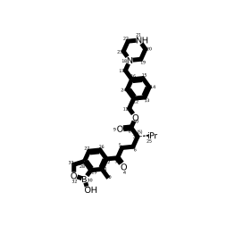 Cc1c(C(=O)CC[C@H](C(=O)OCc2cccc(CN3CCNCC3)c2)C(C)C)ccc2c1B(O)OC2